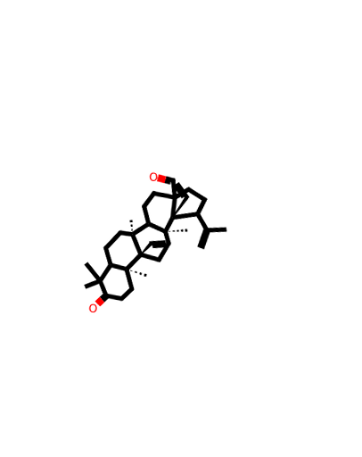 C=C[C@]12CC[C@@]3(C)C(CCC4(C=O)CCC(C(=C)C)[C@@]43C=C)[C@]1(C)CCC1C(C)(C)C(=O)CC[C@@]12C